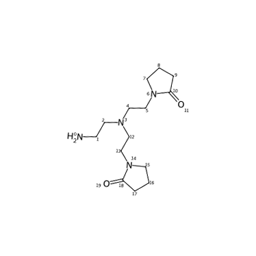 NCCN(CCN1CCCC1=O)CCN1CCCC1=O